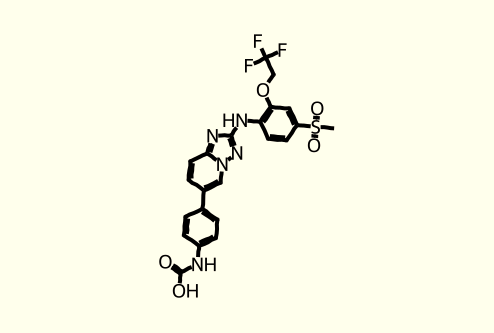 CS(=O)(=O)c1ccc(Nc2nc3ccc(-c4ccc(NC(=O)O)cc4)cn3n2)c(OCC(F)(F)F)c1